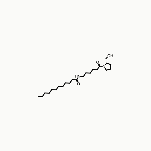 CCCCCCCCCCCC(=O)NCCCCCC(=O)N1CCC[C@H]1CO